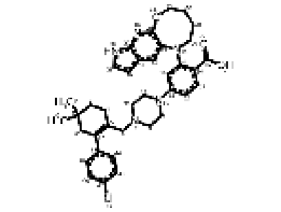 CC1(C)CCC(CN2CCN(c3ccc(C(=O)O)c(N4CCCCOc5nc6[nH]ccc6cc54)c3)CC2)=C(c2ccc(Cl)cc2)C1